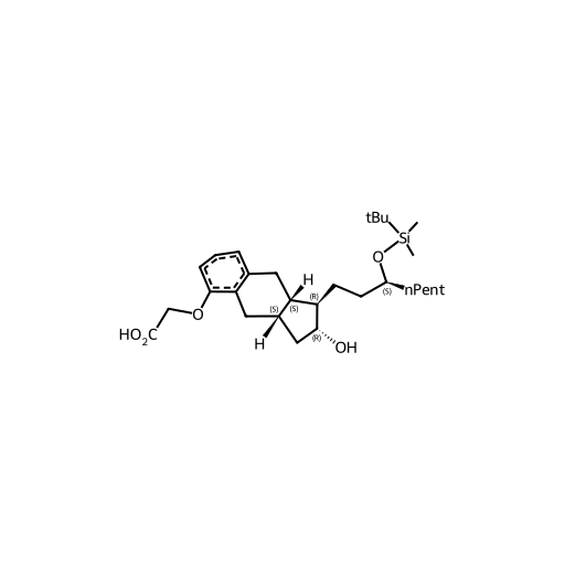 CCCCC[C@@H](CC[C@@H]1[C@H]2Cc3cccc(OCC(=O)O)c3C[C@H]2C[C@H]1O)O[Si](C)(C)C(C)(C)C